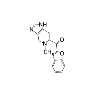 CN1Cc2nc[nH]c2CC1C(=O)c1cc2ccccc2o1